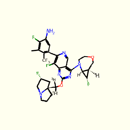 [2H]C([2H])(Oc1nc(N2CCOC[C@H]3[C@H](F)[C@H]32)c2cnc(-c3cc(N)c(F)c(C)c3C(F)(F)F)c(F)c2n1)[C@@]12CCCN1C[C@H](F)C2